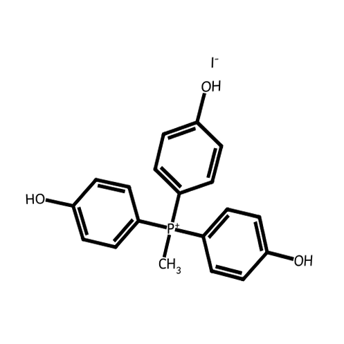 C[P+](c1ccc(O)cc1)(c1ccc(O)cc1)c1ccc(O)cc1.[I-]